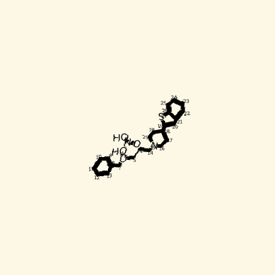 ON(O)O[C@H](COCc1ccccc1)CN1CC=C(c2cc3ccccc3s2)CC1